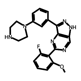 COc1cccc(F)c1-c1ncc2[nH]nc(-c3cccc(N4CCNCC4)c3)c2n1